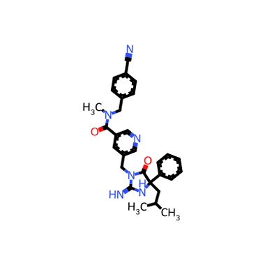 CC(C)CC1(c2ccccc2)NC(=N)N(Cc2cncc(C(=O)N(C)Cc3ccc(C#N)cc3)c2)C1=O